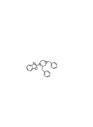 c1ccc(CC2CN(Cc3ccccc3)CCN2c2nc3ccccc3o2)cc1